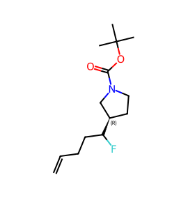 C=CCCC(F)[C@@H]1CCN(C(=O)OC(C)(C)C)C1